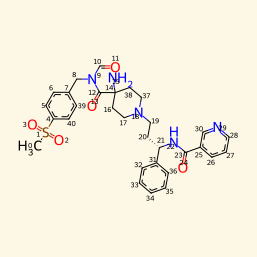 CS(=O)(=O)c1ccc(CN(C=O)C(=O)C2(N)CCN(CC[C@H](NC(=O)c3cccnc3)c3ccccc3)CC2)cc1